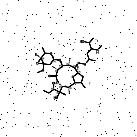 CC[C@@H](O)[C@@](C)(O)[C@@H]1OC(=O)[C@H](C)[C@@H](O[C@H]2CC3(OC)O[C@H]3C(C)O2)[C@H](C)[C@@H](OOC(C)CC(NC)C(C)O)[C@@]2(C)CC(C)C(O2)[C@@H]1C